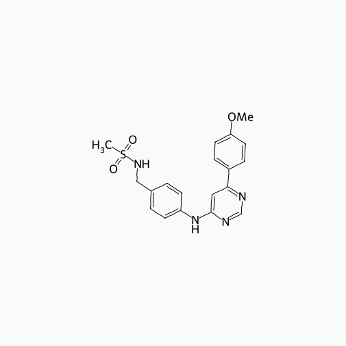 COc1ccc(-c2cc(Nc3ccc(CNS(C)(=O)=O)cc3)ncn2)cc1